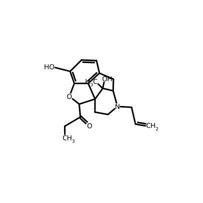 C=CCN1CCC23c4c(ccc(O)c4OC2C(=O)CC)CC1C3(C)O